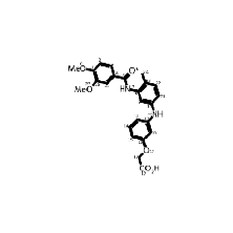 COc1ccc(C(=O)Nc2cc(Nc3cccc(OCC(=O)O)c3)ccc2C)cc1OC